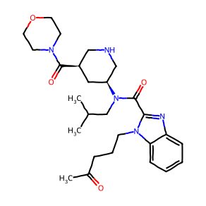 CC(=O)CCCn1c(C(=O)N(CC(C)C)[C@@H]2CNC[C@H](C(=O)N3CCOCC3)C2)nc2ccccc21